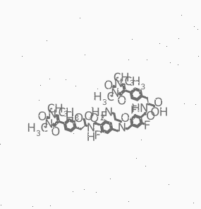 Cc1c(-c2ccc(C[C@H](NC(=O)c3c(F)cc(CN(Cc4cc(F)c(C(=O)N[C@@H](Cc5ccc(-c6c(C)n(C)c(=O)n(C)c6=O)cc5)C(=O)O)c(F)c4)C(=O)CCN)cc3F)C(=O)O)cc2)c(=O)n(C)c(=O)n1C